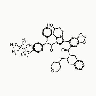 CC(C)(C)[Si](C)(C)Oc1ccc(N(C(=O)c2cc(-c3cc4c(cc3C(=O)N3Cc5ccccc5C[C@H]3CN3CCOCC3)OCO4)n3c2CC(O)CC3)c2ccccc2)cc1